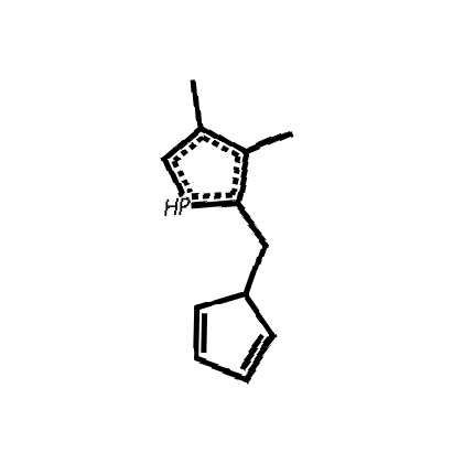 Cc1c[pH]c(CC2C=CC=C2)c1C